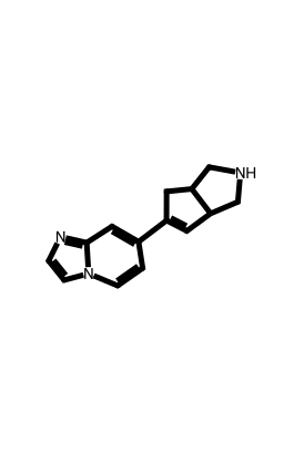 C1=C(c2ccn3ccnc3c2)CC2CNCC12